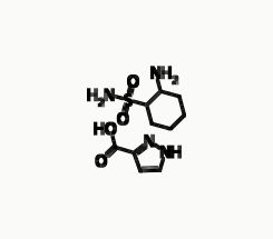 NC1CCCCC1S(N)(=O)=O.O=C(O)c1cc[nH]n1